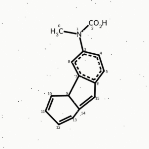 CN(C(=O)O)c1ccc2c(c1)C1C=CC=CC1=C2